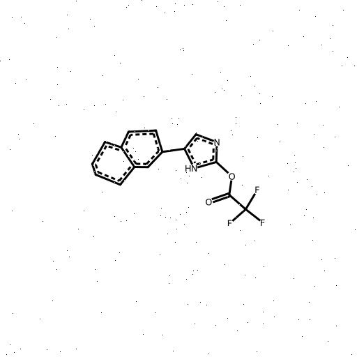 O=C(Oc1ncc(-c2ccc3ccccc3c2)[nH]1)C(F)(F)F